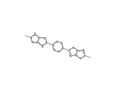 Cc1cc2sc(-c3ccc(-c4cc5sc(C)cc5s4)cc3)cc2s1